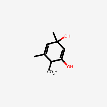 CC1=CC(C)(O)C=C(O)C1C(=O)O